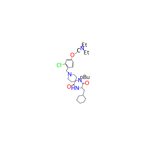 CCCCN1C(=O)C(CC2CCCCC2)NC(=O)C12CCN(Cc1ccc(OCCN(CC)CC)cc1Cl)CC2